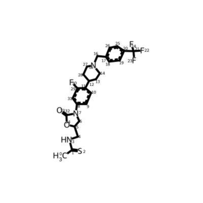 CC(=S)NCC1CN(c2ccc(C3CCN(Cc4ccc(C(F)(F)F)cc4)CC3)c(F)c2)C(=O)O1